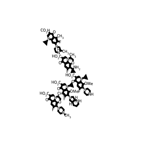 COc1c(N2CCNCC2)c(F)cc2c(=O)c(C(=O)O)cn(C3CC3)c12.COc1c(N2C[C@@H]3CCCN[C@@H]3C2)c(F)cc2c(=O)c(C(=O)O)cn(C3CC3)c12.C[C@H]1COc2c(C3(N)CC3)c(F)cc3c(=O)c(C(=O)O)cn1c23.C[C@H]1COc2c(N3CCN(C)CC3)c(F)cc3c(=O)c(C(=O)O)cn1c23.Cc1c(F)c(N2CCNC(C)C2)cc2c1c(=O)c(C(=O)O)cn2C1CC1